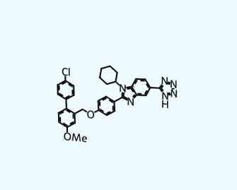 COc1ccc(-c2ccc(Cl)cc2)c(COc2ccc(-c3nc4cc(-c5nnn[nH]5)ccc4n3C3CCCCC3)cc2)c1